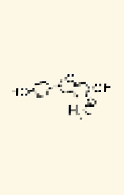 COc1cc2c(cc1O)OC[C@H](c1ccc(O)cc1)C2